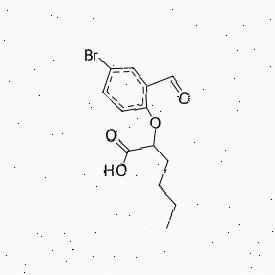 CCCCC(Oc1ccc(Br)cc1C=O)C(=O)O